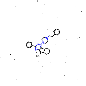 N#Cc1c2nc(-c3ccccc3)nn(N3CCN(CCc4ccccc4)CC3)c-2c2c1CCCC2